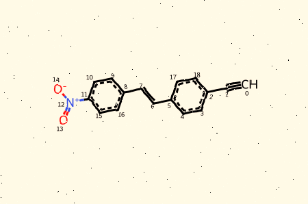 C#Cc1ccc(C=Cc2ccc([N+](=O)[O-])cc2)cc1